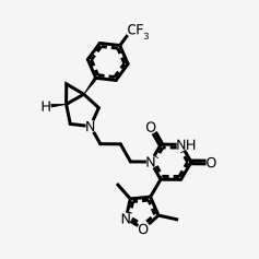 Cc1noc(C)c1-c1cc(=O)[nH]c(=O)n1CCCN1C[C@@H]2C[C@]2(c2ccc(C(F)(F)F)cc2)C1